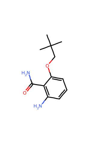 CC(C)(C)COc1cccc(N)c1C(N)=O